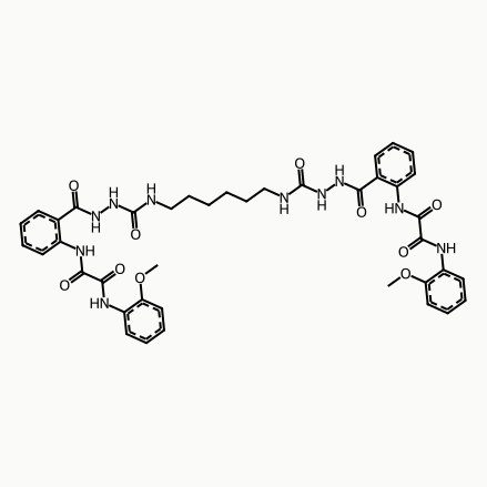 COc1ccccc1NC(=O)C(=O)Nc1ccccc1C(=O)NNC(=O)NCCCCCCNC(=O)NNC(=O)c1ccccc1NC(=O)C(=O)Nc1ccccc1OC